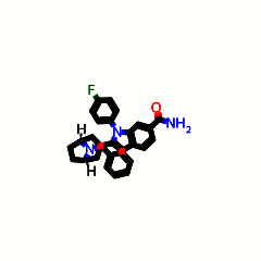 NC(=O)c1ccc2cc(C3C[C@H]4CC[C@@H](C3)N4Cc3ccccc3)n(-c3ccc(F)cc3)c2c1